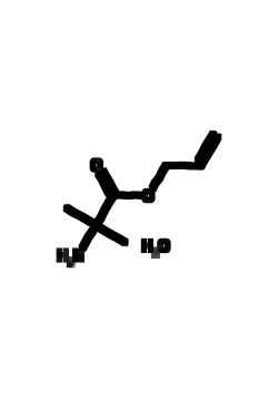 C=CCOC(=O)C(C)(C)N.O